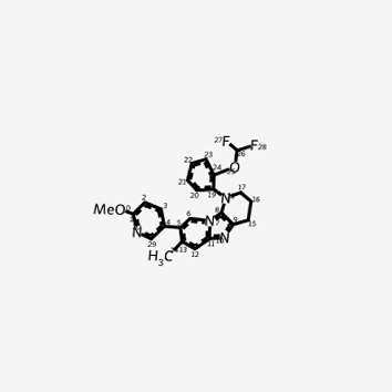 COc1ccc(-c2cn3c4c(nc3cc2C)CCCN4c2ccccc2OC(F)F)cn1